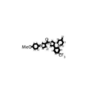 COC1CCC(N2CC(C(=O)N3CCC(c4ccc(C(F)(F)F)cc4N4CCC(C)CC4)C3)[C@H](C)C2)CC1